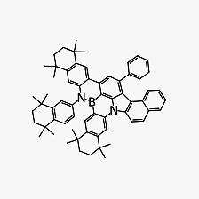 CC1(C)CCC(C)(C)c2cc(N3B4c5cc6c(cc5-n5c7ccc8ccccc8c7c7c(-c8ccccc8)cc(c4c75)-c4cc5c(cc43)C(C)(C)CCC5(C)C)C(C)(C)CCC6(C)C)ccc21